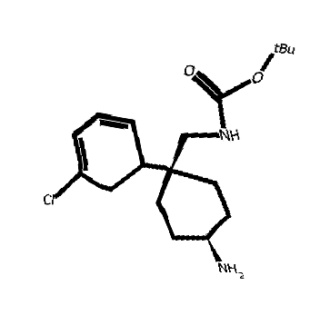 CC(C)(C)OC(=O)NC[C@]1(C2C=CC=C(Cl)C2)CC[C@H](N)CC1